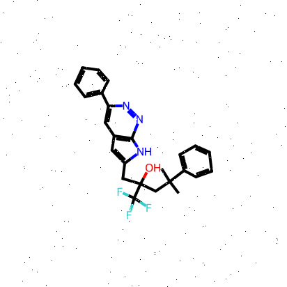 CC(C)(CC(O)(Cc1cc2cc(-c3ccccc3)nnc2[nH]1)C(F)(F)F)c1ccccc1